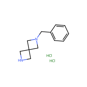 Cl.Cl.c1ccc(CN2CC3(CNC3)C2)cc1